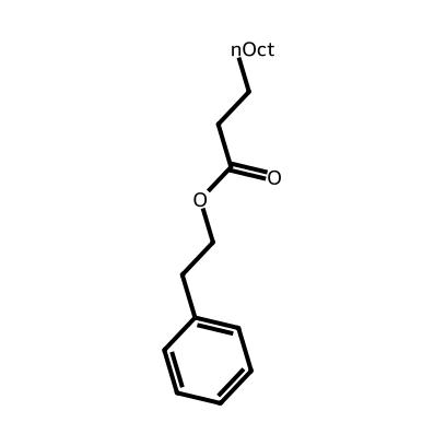 CCCCCCCCCCC(=O)OCCc1ccccc1